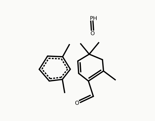 CC1=C(C=O)C=CC(C)(C)C1.Cc1cccc(C)c1.O=P